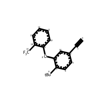 C#Cc1ccc(C(C)(C)C)c(Oc2ccccc2C(F)(F)F)c1